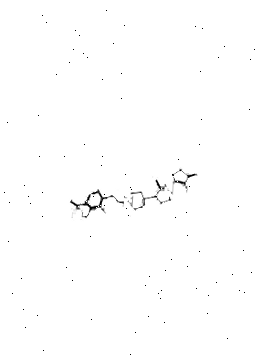 C=C1CCC(N2CCC(C3CCN(CCc4ccc5c(c4C)COC5=C)CC3)C2=C)=C1C